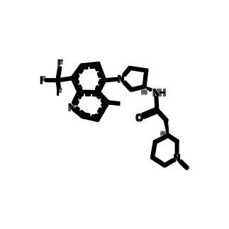 Cc1ccnc2c(C(F)(F)F)ccc(N3CC[C@H](NC(=O)C[C@@H]4CCCN(C)C4)C3)c12